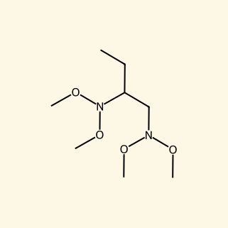 CCC(CN(OC)OC)N(OC)OC